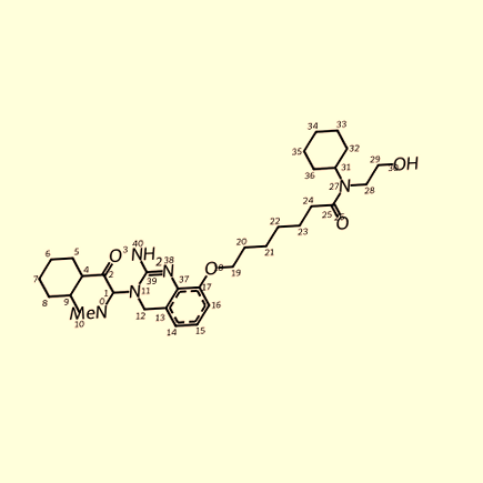 CNC(C(=O)C1CCCCC1C)N1Cc2cccc(OCCCCCCC(=O)N(CCO)C3CCCCC3)c2N=C1N